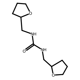 O=C(NCC1CCCO1)NCC1CCCO1